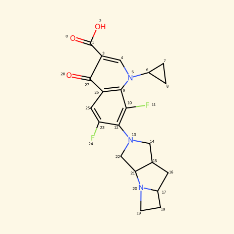 O=C(O)c1cn(C2CC2)c2c(F)c(N3CC4CC5CCN5C4C3)c(F)cc2c1=O